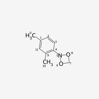 Cc1ccc(N2OCO2)c(C)c1